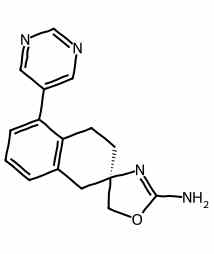 NC1=N[C@@]2(CCc3c(cccc3-c3cncnc3)C2)CO1